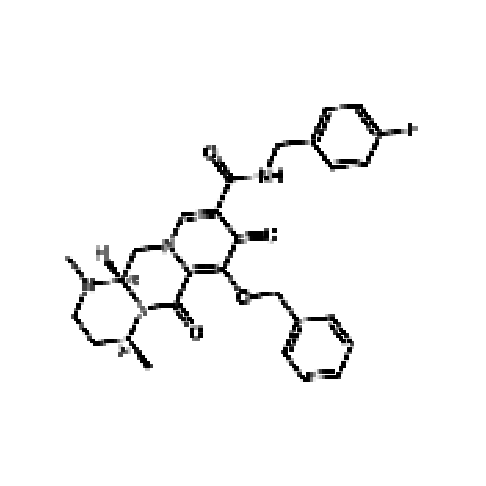 C[C@H]1CCN(C)[C@@H]2Cn3cc(C(=O)NCc4ccc(F)cc4)c(=O)c(OCc4ccccc4)c3C(=O)N12